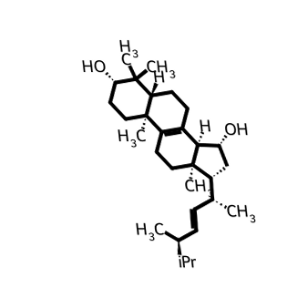 CC(C)[C@@H](C)/C=C/[C@@H](C)[C@H]1C[C@@H](O)[C@@H]2C3=C(CC[C@]12C)[C@@]1(C)CC[C@H](O)C(C)(C)[C@@H]1CC3